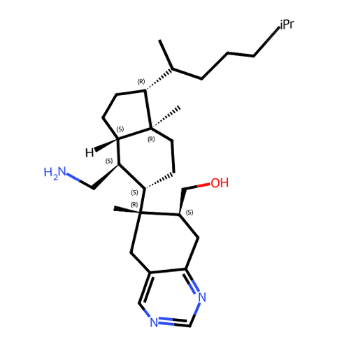 CC(C)CCCC(C)[C@H]1CC[C@H]2[C@H](CN)[C@@H]([C@@]3(C)Cc4cncnc4C[C@@H]3CO)CC[C@]12C